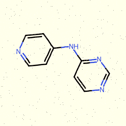 c1cc(Nc2ccncn2)ccn1